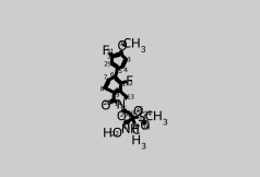 COc1ccc(-c2ccc3c(c2F)CN(CCC(C)(C(=O)NO)S(C)(=O)=O)C3=O)cc1F